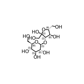 OC[C@H]1O[C@@](O)(CO)[C@@H](O[C@@H]2O[C@H](CO)[C@@H](O)[C@H](O)[C@H]2O)[C@@H]1O